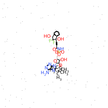 CC(C)(C)[Si](C)(C)O[C@@H]1[C@H](O)[C@@H](COS(=O)(=O)NC(=O)C#C[C@]2(O)c3ccccc3[C@@H](O)C2(F)F)O[C@H]1n1cnc2c(N)ncnc21